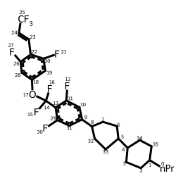 CCCC1CCC(C2CCC(c3cc(F)c(C(F)(F)Oc4cc(F)c(/C=C/C(F)(F)F)c(F)c4)c(F)c3)CC2)CC1